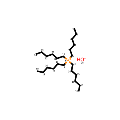 CCCCCC[P+](CCCCCC)(CCCCCC)CCCCCC.[OH-]